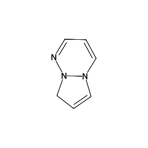 C1=CN2C=CCN2N=C1